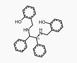 Oc1ccccc1CNC(c1ccccc1)[C@@H](NCc1ccccc1O)c1ccccc1